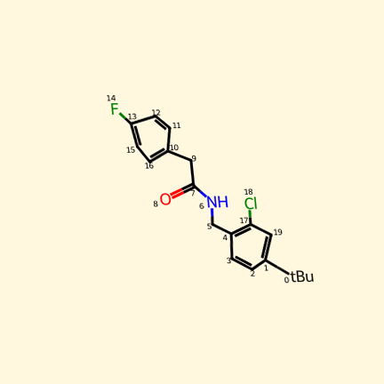 CC(C)(C)c1ccc(CNC(=O)Cc2ccc(F)cc2)c(Cl)c1